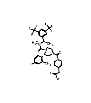 Cc1cc(F)ccc1[C@H]1CN(C(=O)N2CCC(CC(=O)O)CC2)CCN1C(=O)N(C)[C@H](C)c1cc(C(F)(F)F)cc(C(F)(F)F)c1